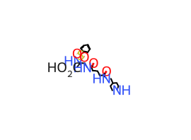 O=C(CCCC(=O)NCC(NS(=O)(=O)c1ccccc1)C(=O)O)NCC1CCNCC1